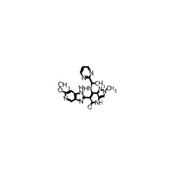 COc1cc2[nH]c(-c3c(NC(C)c4ncccn4)c4nn(C)cc4[nH]c3=O)nc2cn1